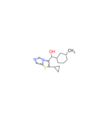 CC1CCCC(C(O)c2c(C3CC3)sc3cncn23)C1